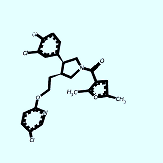 Cc1cc(C(=O)N2C[C@@H](CCOc3ccc(Cl)cn3)[C@@H](c3ccc(Cl)c(Cl)c3)C2)c(C)o1